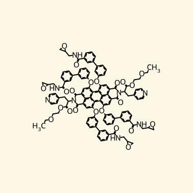 CCOCCOC(=O)C(Cc1ccncc1)N1C(=O)c2cc(Oc3cccc(-c4cccc(C(=O)NCC5CO5)c4)c3)c3c4c(Oc5cccc(-c6cccc(C(=O)NCC7CO7)c6)c5)cc5c6c(cc(Oc7cccc(-c8cccc(C(=O)NCC9CO9)c8)c7)c(c7c(Oc8cccc(-c9cccc(C(=O)NCC%10CO%10)c9)c8)cc(c2c37)C1=O)c64)C(=O)N(C(Cc1ccncc1)C(=O)OCCOCC)C5=O